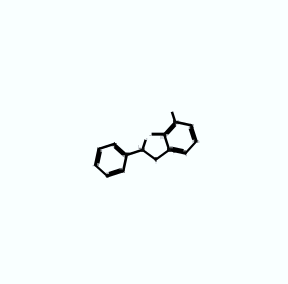 Fc1cccc2c1SC(c1ccccc1)C2